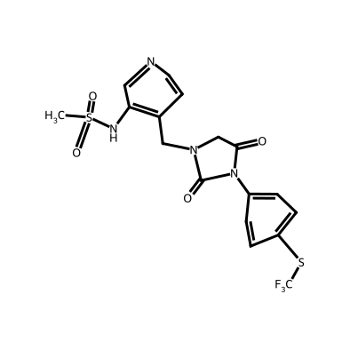 CS(=O)(=O)Nc1cnccc1CN1CC(=O)N(c2ccc(SC(F)(F)F)cc2)C1=O